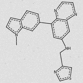 Cn1ccc2ccc(-c3cc(NCc4cscn4)cc4nccnc34)cc21